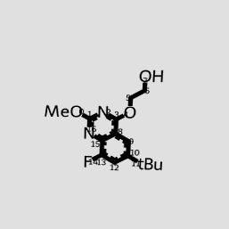 COc1nc(OCCO)c2cc(C(C)(C)C)cc(F)c2n1